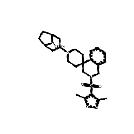 CCOC(=O)N1C2CCC1CC(N1CCC3(CC1)CN(S(=O)(=O)c1c(C)noc1C)Cc1ccccc13)C2